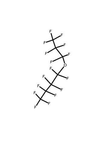 FC(F)(F)C(F)(F)C(F)(F)OC(F)(F)C(F)(F)C(F)(F)C(F)(F)F